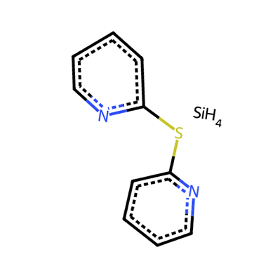 [SiH4].c1ccc(Sc2ccccn2)nc1